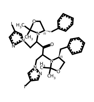 CC1(C)OC[C@H](Cc2ccccc2)N1C(Cn1cc(I)cn1)C(=O)C(Cn1cc(I)cn1)N1[C@@H](Cc2ccccc2)COC1(C)C